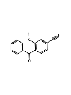 CSc1cc(C#N)ccc1C(=O)c1ccccc1